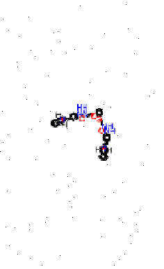 O=C(NCCOc1ccccc1OCCNC(=O)NC1CCC(CCN2[C@@H]3CC[C@H]2c2ccccc23)CC1)NC1CCC(CCN2[C@@H]3CC[C@H]2c2ccccc23)CC1